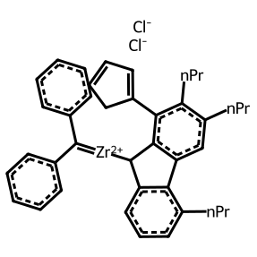 CCCc1cc2c(c(C3=CC=CC3)c1CCC)[CH]([Zr+2]=[C](c1ccccc1)c1ccccc1)c1cccc(CCC)c1-2.[Cl-].[Cl-]